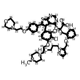 CCCCn1nccc1COc1ccccc1C[C@@H](Oc1ncnc2sc(-c3ccc(OCCN4CCOCC4)cc3)c(-c3ccc(OCCN4CCN(C)CC4)c(Cl)c3C)c12)C(=O)O